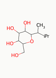 CC(C)C(C)C1OC(CO)C(O)C(O)C1O